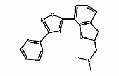 CN(C)CC1Cc2cccc(-c3nc(-c4ccccc4)no3)c2O1